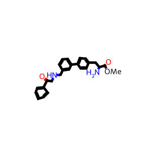 COC(=O)C(N)Cc1ccc(-c2cccc(CNCC(=O)c3ccccc3)c2)cc1